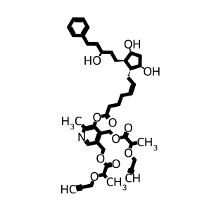 C#CCOC(C)C(=O)OCc1cnc(C)c(OC(=O)CCC/C=C\C[C@@H]2[C@@H](CC[C@@H](O)CCc3ccccc3)[C@H](O)C[C@@H]2O)c1COC(=O)C(C)OCC#C